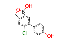 OB1OCc2cc(Cl)c(-c3ccc(O)cc3)cc21